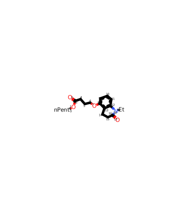 CCCCCOC(=O)CCCOc1cccc2c1CCC(=O)N2CC